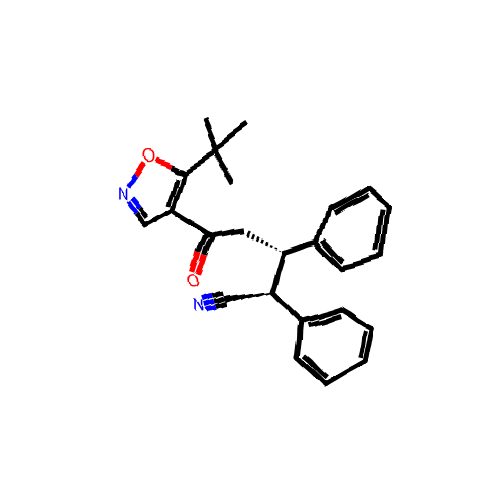 CC(C)(C)c1oncc1C(=O)C[C@H](c1ccccc1)[C@H](C#N)c1ccccc1